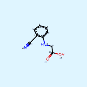 N#Cc1ccccc1NCC(=O)O